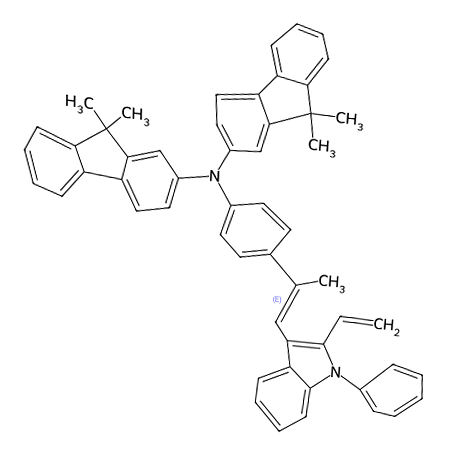 C=Cc1c(/C=C(\C)c2ccc(N(c3ccc4c(c3)C(C)(C)c3ccccc3-4)c3ccc4c(c3)C(C)(C)c3ccccc3-4)cc2)c2ccccc2n1-c1ccccc1